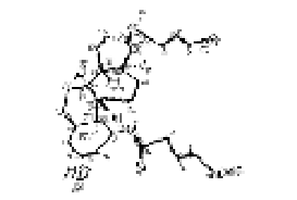 CCCCCCCCCCCCCC(=O)OC1C[C@H](O)CC2=CC[C@H]3[C@@H]4CC[C@H]([C@H](C)CCCC(C)C)[C@@]4(C)CC[C@@H]3[C@]21C